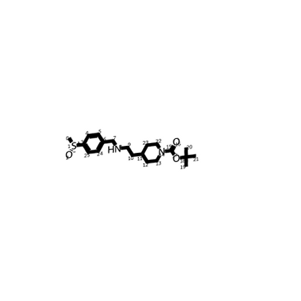 C[S+]([O-])c1ccc(CNCCC2CCN(C(=O)OC(C)(C)C)CC2)cc1